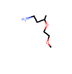 COCCOC(C)CCN